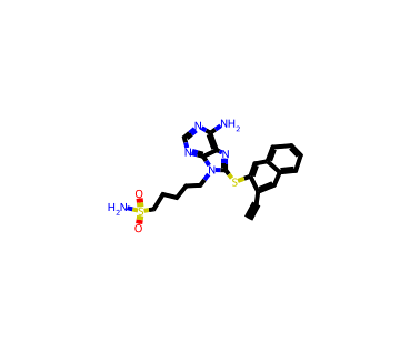 C#Cc1cc2ccccc2cc1Sc1nc2c(N)ncnc2n1CCCCCS(N)(=O)=O